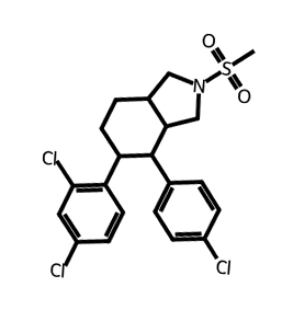 CS(=O)(=O)N1CC2CCC(c3ccc(Cl)cc3Cl)C(c3ccc(Cl)cc3)C2C1